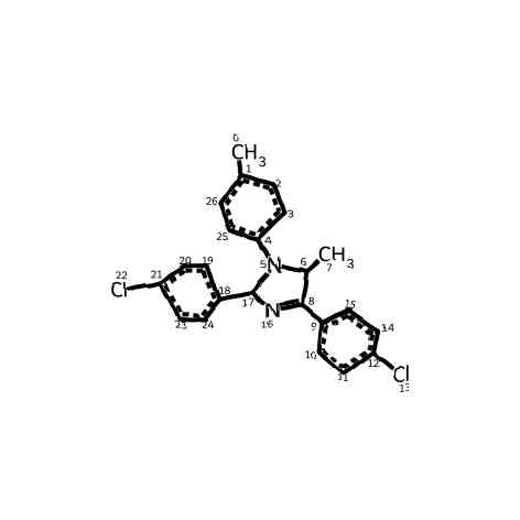 Cc1ccc(N2C(C)C(c3ccc(Cl)cc3)=NC2c2ccc(Cl)cc2)cc1